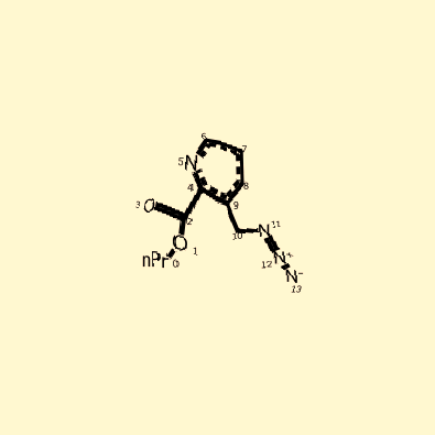 CCCOC(=O)c1ncccc1CN=[N+]=[N-]